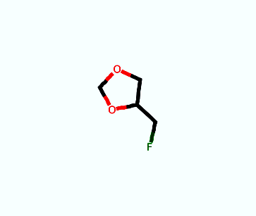 FCC1COCO1